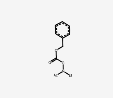 CCN(OC(=O)OCc1ccccc1)C(C)=O